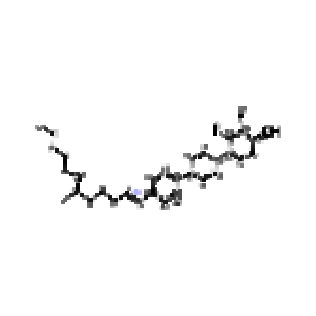 CCCCCOC(C)CCC/C=C/c1ccc(-c2ccc(-c3ccc(O)c(F)c3F)cc2)nc1